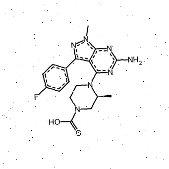 C[C@H]1CN(C(=O)O)CCN1c1nc(N)nc2c1c(-c1ccc(F)cc1)nn2C